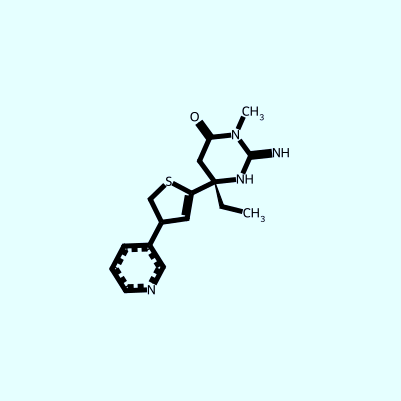 CC[C@@]1(C2=CC(c3cccnc3)CS2)CC(=O)N(C)C(=N)N1